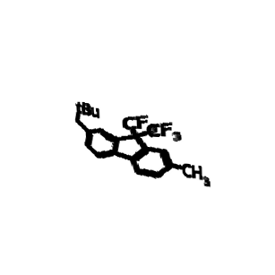 Cc1ccc2c(c1)C(C(F)(F)F)(C(F)(F)F)c1cc(CC(C)(C)C)ccc1-2